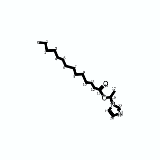 CCCCCCCCCCCCCC(=O)OC(C)n1ccnc1